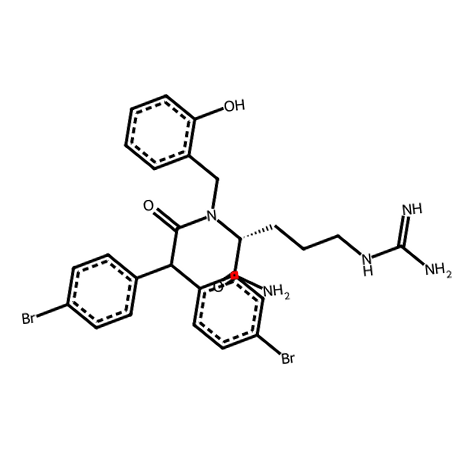 N=C(N)NCCC[C@H](C(N)=O)N(Cc1ccccc1O)C(=O)C(c1ccc(Br)cc1)c1ccc(Br)cc1